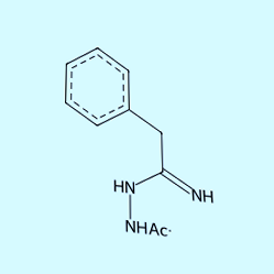 CC(=O)[N]NC(=N)Cc1ccccc1